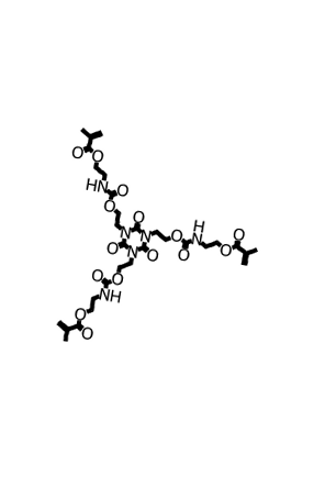 C=C(C)C(=O)OCCNC(=O)OCCn1c(=O)n(CCOC(=O)NCCOC(=O)C(=C)C)c(=O)n(CCOC(=O)NCCOC(=O)C(=C)C)c1=O